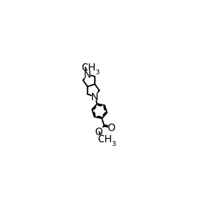 COC(=O)c1ccc(N2CC3CN(C)CC3C2)cc1